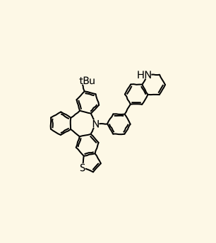 CC(C)(C)c1ccc2c(c1)-c1ccccc1-c1cc3sccc3cc1N2c1cccc(-c2ccc3c(c2)C=CCN3)c1